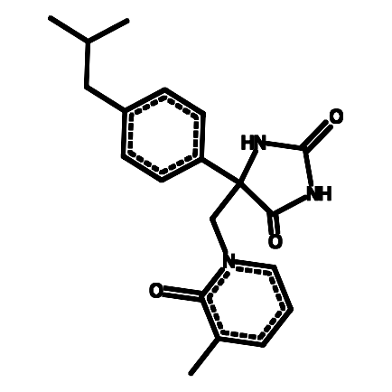 Cc1cccn(CC2(c3ccc(CC(C)C)cc3)NC(=O)NC2=O)c1=O